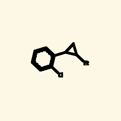 [CH2]CC1CC1c1ccccc1Cl